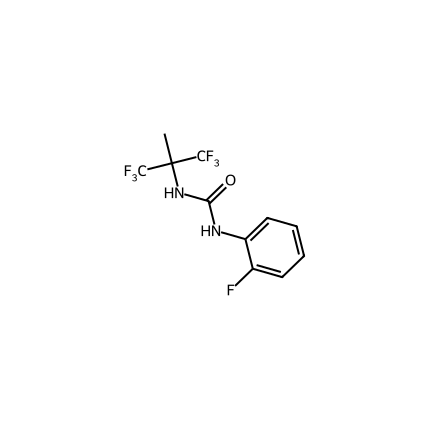 CC(NC(=O)Nc1ccccc1F)(C(F)(F)F)C(F)(F)F